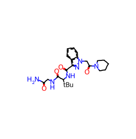 CC(C)(C)C(NC(=O)c1nn(CC(=O)N2CCCCC2)c2ccccc12)C(=O)NCC(N)=O